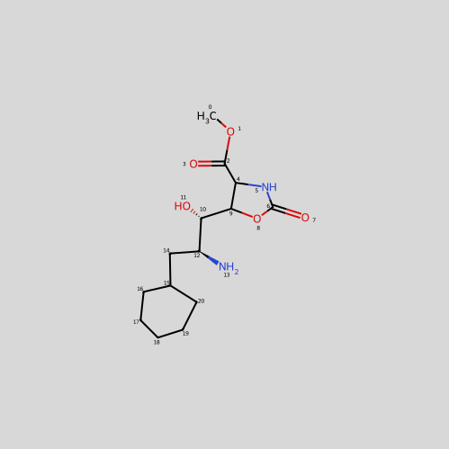 COC(=O)C1NC(=O)OC1[C@@H](O)[C@@H](N)CC1CCCCC1